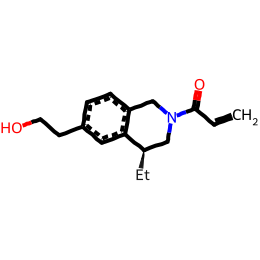 C=CC(=O)N1Cc2ccc(CCO)cc2[C@H](CC)C1